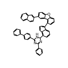 c1ccc(C2=NC(c3cccc4c(-c5cccc6oc7ccc(-c8ccc9ccccc9c8)cc7c56)cccc34)NC(c3ccc(-c4ccccc4)cc3)=N2)cc1